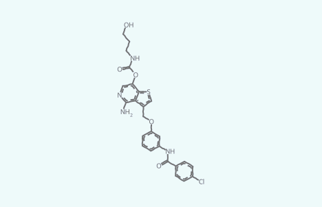 Nc1ncc(OC(=O)NCCCO)c2scc(COc3cccc(NC(=O)c4ccc(Cl)cc4)c3)c12